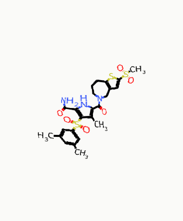 Cc1cc(C)cc(S(=O)(=O)c2c(C(N)=O)[nH]c(C(=O)N3CCCc4sc(S(C)(=O)=O)cc4C3)c2C)c1